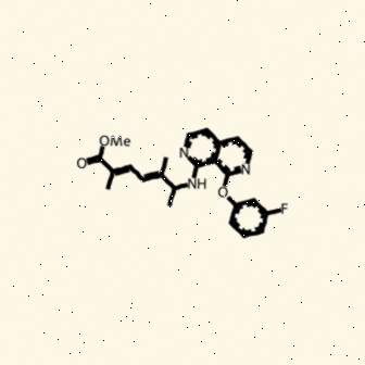 COC(=O)/C(C)=C/C=C(\C)C(C)Nc1nccc2ccnc(Oc3cccc(F)c3)c12